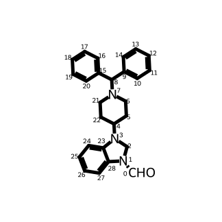 O=CN1CN(C2CCN(C(c3ccccc3)c3ccccc3)CC2)c2ccccc21